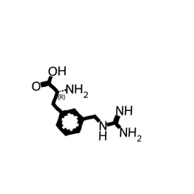 N=C(N)NCc1cccc(C[C@@H](N)C(=O)O)c1